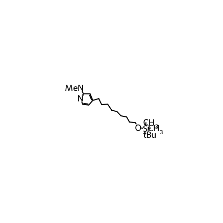 CNc1cc(CCCCCCCCCO[Si](C)(C)C(C)(C)C)ccn1